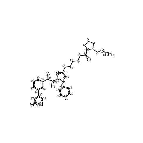 COCC1CCCN1C(=O)CCCCCc1cn(-c2ccccc2)c(NC(=O)c2cccc(-c3cn[nH]c3)c2)n1